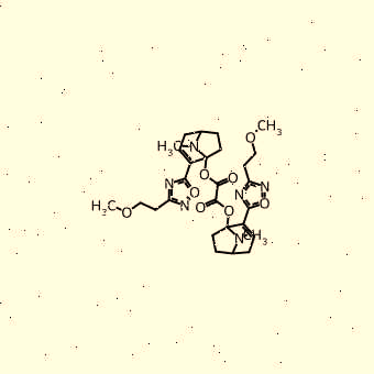 COCCc1noc(C2=CCC3CCC2(OC(=O)C(=O)OC24CCC(CC=C2c2nc(CCOC)no2)N4C)N3C)n1